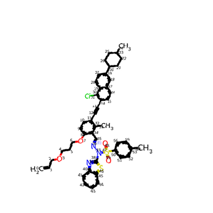 C=CCOCCCOc1ccc(C#Cc2ccc3cc(C4CCC(C)CC4)ccc3c2Cl)c(C)c1/C=N/N(c1nc2ccccc2s1)S(=O)(=O)c1ccc(C)cc1